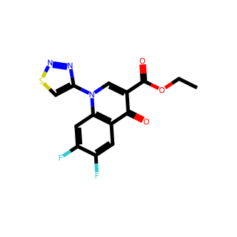 CCOC(=O)c1cn(-c2csnn2)c2cc(F)c(F)cc2c1=O